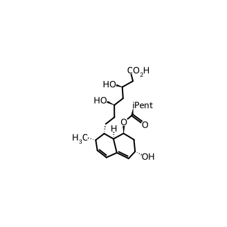 CCC[C@H](C)C(=O)O[C@H]1C[C@H](O)C=C2C=C[C@H](C)[C@H](CC[C@@H](O)C[C@@H](O)CC(=O)O)[C@H]21